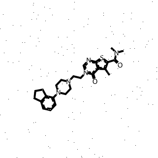 Cc1c(C(=O)N(C)C)sc2ncn(CCN3CCN(c4cccc5c4CCC5)CC3)c(=O)c12